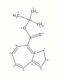 CC(C)(C)OC(=O)C1=C2CCC=C2C=CC=C1